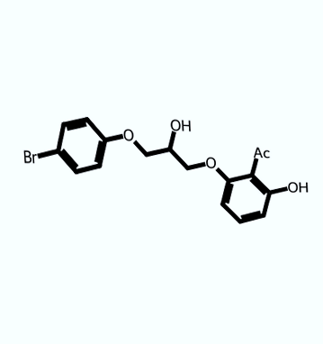 CC(=O)c1c(O)cccc1OCC(O)COc1ccc(Br)cc1